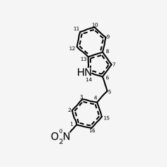 O=[N+]([O-])c1ccc(Cc2cc3ccccc3[nH]2)cc1